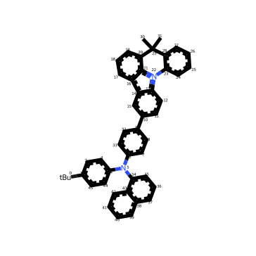 CC(C)(C)c1ccc(N(c2ccc(-c3ccc4c(c3)c3cccc5c3n4-c3ccccc3C5(C)C)cc2)c2cccc3ccccc23)cc1